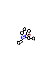 c1ccc(-c2cccc(-c3nc(-c4ccc5ccccc5c4)nc(-c4ccc(-c5ccccc5)c5oc6c7ccccc7ccc6c45)n3)c2)cc1